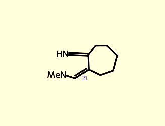 CN/C=C1/CCCCCC1=N